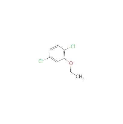 CCOc1cc(Cl)c[c]c1Cl